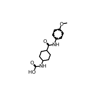 COc1ccc(NC(=O)C2CCC(NC(=O)O)CC2)cc1